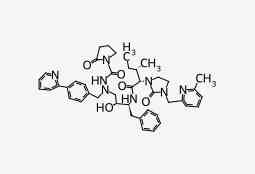 CC[C@H](C)[C@@H](C(=O)N[C@@H](Cc1ccccc1)[C@@H](O)CN(Cc1ccc(-c2ccccn2)cc1)NC(=O)N1CCCC1=O)N1CCN(Cc2cccc(C)n2)C1=O